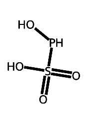 O=S(=O)(O)PO